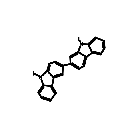 In1c2ccccc2c2cc(-c3ccc4c5ccccc5n(I)c4c3)ccc21